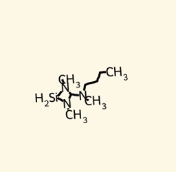 CCCCN(C)C1N(C)[SiH2]N1C